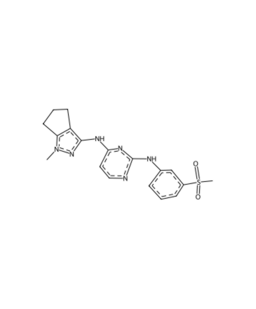 Cn1nc(Nc2ccnc(Nc3cccc(S(C)(=O)=O)c3)n2)c2c1CCC2